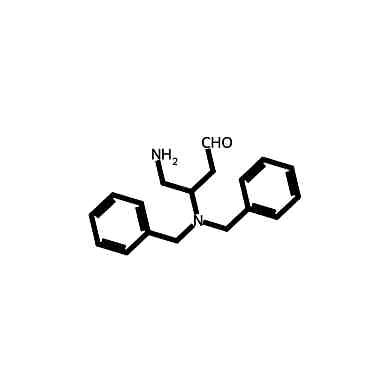 NCC(CC=O)N(Cc1ccccc1)Cc1ccccc1